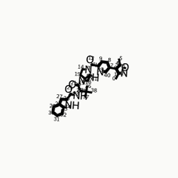 Cc1noc(C)c1-c1ccc(C(=O)N2CC3C[C@H]2CN3C(=O)[C@@H](NC(=O)c2cc3ccccc3[nH]2)C(C)(C)C)nc1